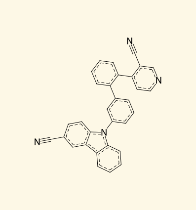 N#Cc1ccc2c(c1)c1ccccc1n2-c1cccc(-c2ccccc2-c2ccncc2C#N)c1